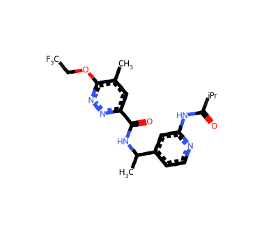 Cc1cc(C(=O)NC(C)c2ccnc(NC(=O)C(C)C)c2)nnc1OCC(F)(F)F